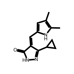 Cc1cc(/C=C2/C(=O)NN=C2C2CC2)[nH]c1C